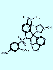 COc1ccc(S(=O)(=O)N2C(=O)C(c3cccc4c3OCO4)(N3C[C@H](O)C[C@H]3C(=O)N(C)C)c3cc(Cl)ccc32)c(OC)c1